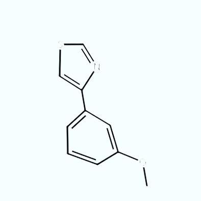 COc1cccc(-c2cscn2)c1